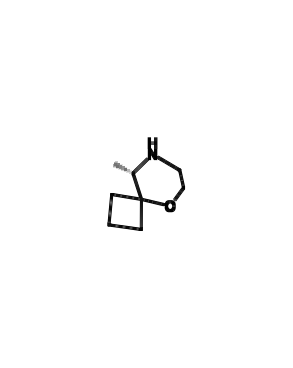 C[C@@H]1NCCOC12CCC2